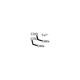 COCC(=O)[O-].COCC(=O)[O-].[Cu+2]